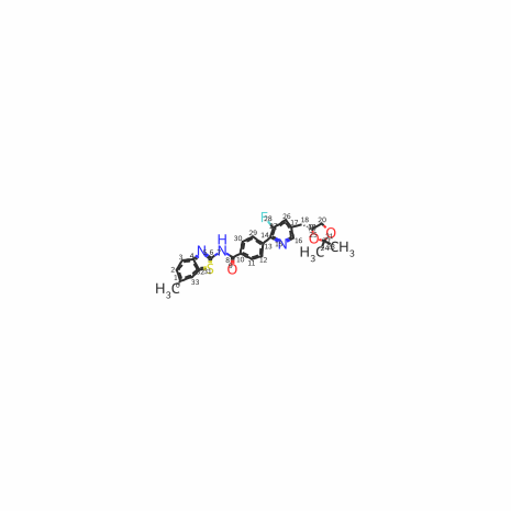 Cc1ccc2nc(NC(=O)c3ccc(-c4ncc(C[C@@H]5COC(C)(C)O5)cc4F)cc3)sc2c1